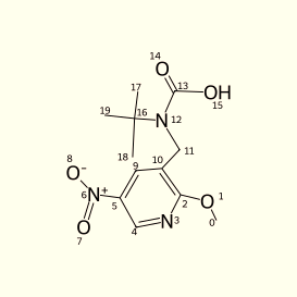 COc1ncc([N+](=O)[O-])cc1CN(C(=O)O)C(C)(C)C